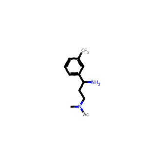 CC(=O)N(C)CCC(N)c1cccc(C(F)(F)F)c1